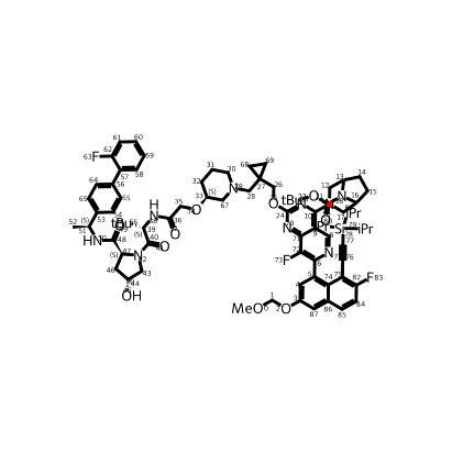 COCOc1cc(-c2ncc3c(N4CC5CCC(C4)N5C(=O)OC(C)(C)C)nc(OCC4(CN5CCC[C@H](OCC(=O)N[C@H](C(=O)N6C[C@H](O)C[C@H]6C(=O)N[C@@H](C)c6ccc(-c7ccccc7F)cc6)C(C)(C)C)C5)CC4)nc3c2F)c2c(C#C[Si](C(C)C)(C(C)C)C(C)C)c(F)ccc2c1